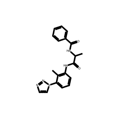 Cc1c(NC(=O)C(C)NC(=O)c2ccccc2)cccc1-n1ccnn1